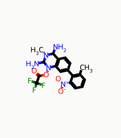 Cc1cccc([N+](=O)[O-])c1-c1ccc2c(c1)N(OC(=O)C(F)(F)F)C(N)N(C)C2N